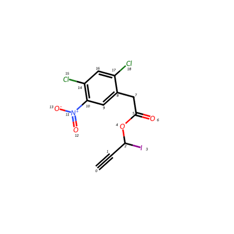 C#CC(I)OC(=O)Cc1cc([N+](=O)[O-])c(Cl)cc1Cl